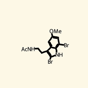 COc1cc(Br)c2[nH]c(Br)c(CCNC(C)=O)c2c1